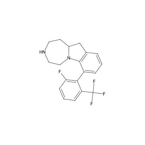 Fc1cccc(C(F)(F)F)c1-c1cccc2c1N1CCNCCC1C2